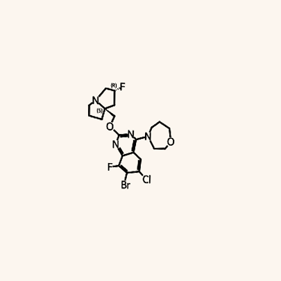 Fc1c(Br)c(Cl)cc2c(N3CCCOCC3)nc(OC[C@@]34CCCN3C[C@H](F)C4)nc12